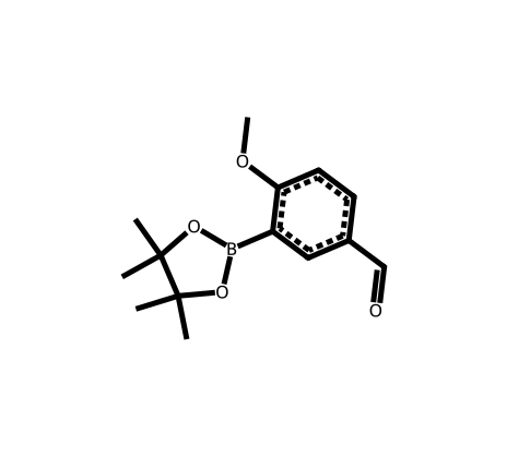 COc1ccc(C=O)cc1B1OC(C)(C)C(C)(C)O1